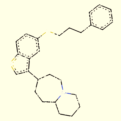 c1ccc(CCCSc2ccc3scc(C4CCC5CCCCN5CC4)c3c2)cc1